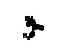 CCOC(=O)c1ccc(COc2ccccc2)c(OCCCOC)c1